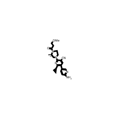 COCCC(=O)N1CCN(c2nc(C3CC3)c(-c3ccc(N)nc3)cc2C#N)C[C@H]1C